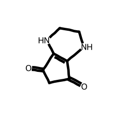 O=C1CC(=O)C2=C1NCCN2